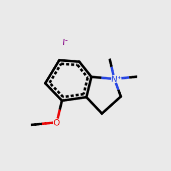 COc1cccc2c1CC[N+]2(C)C.[I-]